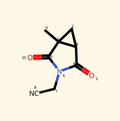 CC12CC1C(=O)N(CC#N)C2=O